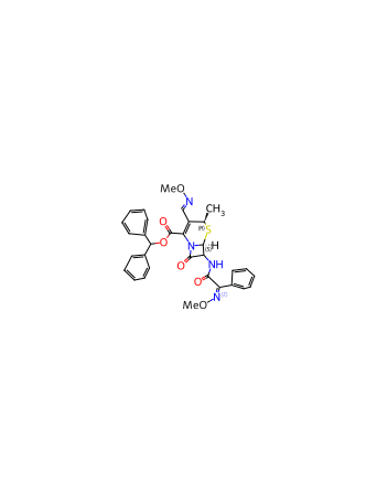 CON=CC1=C(C(=O)OC(c2ccccc2)c2ccccc2)N2C(=O)C(NC(=O)/C(=N\OC)c3ccccc3)[C@@H]2S[C@@H]1C